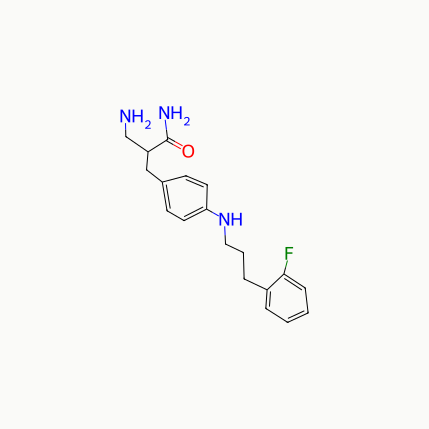 NCC(Cc1ccc(NCCCc2ccccc2F)cc1)C(N)=O